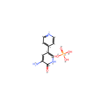 Nc1cc(-c2ccncc2)c[nH]c1=O.O=P(O)(O)O